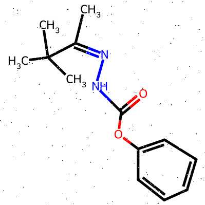 CC(=NNC(=O)Oc1ccccc1)C(C)(C)C